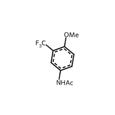 COc1ccc(NC(C)=O)cc1C(F)(F)F